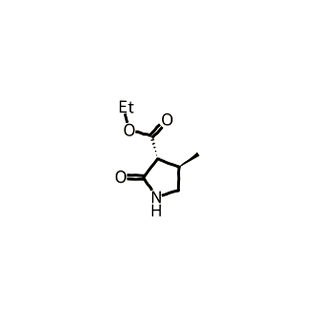 CCOC(=O)[C@H]1C(=O)NC[C@@H]1C